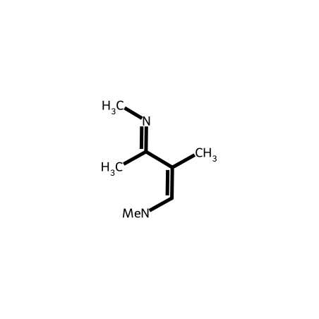 C/N=C(C)/C(C)=C\NC